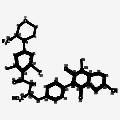 Cc1cc(N2CCOC[C@@H]2C(F)(F)F)cc(F)c1C(=O)N[C@@H](Cc1ccc(-n2c(=O)c3cc(C#N)ccc3n(C)c2=O)nc1)C(=O)O